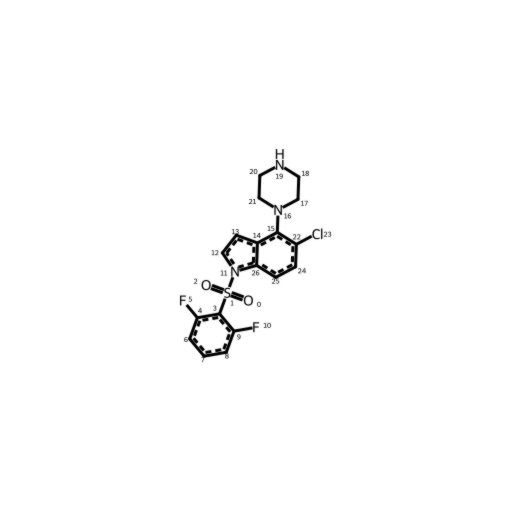 O=S(=O)(c1c(F)cccc1F)n1ccc2c(N3CCNCC3)c(Cl)ccc21